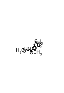 COCCNC(=O)c1cc(CN(C)C2CCOCC2)ccc1C